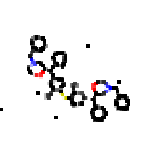 CCCc1cc(C(c2ccccc2)[C@@H]2CN(Cc3ccccc3)CCO2)ccc1Sc1ccc(C(c2ccccc2)[C@@H]2CN(Cc3ccccc3)CCO2)cc1CCC